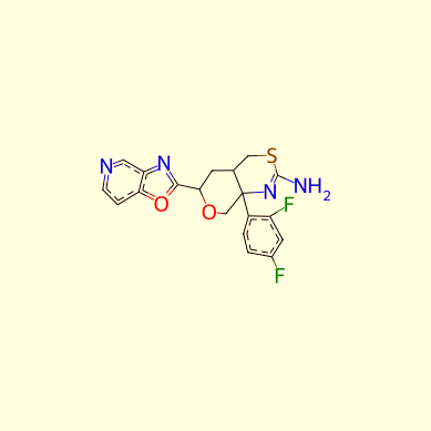 NC1=NC2(c3ccc(F)cc3F)COC(c3nc4cnccc4o3)CC2CS1